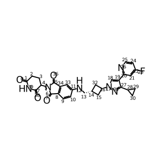 O=C1CCC(N2C(=O)c3ccc(NC[C@H]4C[C@H](n5cc(-c6cc(F)ccn6)c(C6CC6)n5)C4)cc3C2=O)C(=O)N1